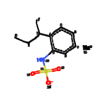 CCC(C)c1ccccc1NS(=O)(=O)[O-].[Na+]